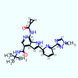 BC(B)(B)NC(=O)c1cnc(NC(=O)C2CC2)c2[nH]c(-c3cccc(-c4ncn(C)n4)n3)cc12